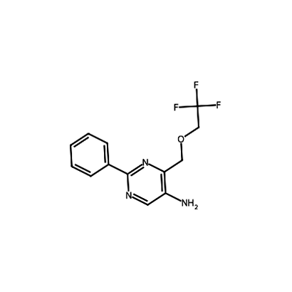 Nc1cnc(-c2ccccc2)nc1COCC(F)(F)F